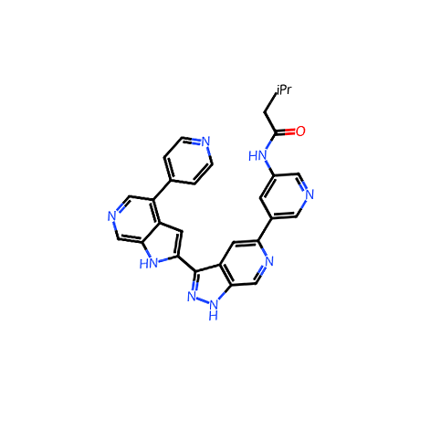 CC(C)CC(=O)Nc1cncc(-c2cc3c(-c4cc5c(-c6ccncc6)cncc5[nH]4)n[nH]c3cn2)c1